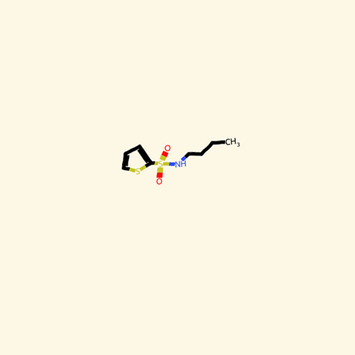 CCCCNS(=O)(=O)c1cccs1